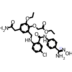 CCOC(=O)COc1c(CNc2ccc(Cl)cc2C(=O)Nc2ccc(/C(N)=N/O)cc2)cc(CC(N)=O)cc1OCC